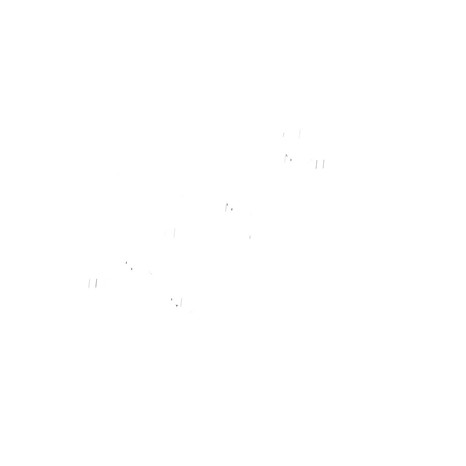 Cc1cc(N(C)C)c2cccc(OCc3c(Cl)ccc(N(C)C(=O)CN)c3Cl)c2n1